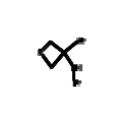 CC(C)NC1(C(C)C)CSC1